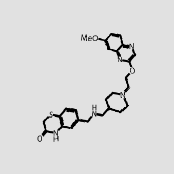 COc1ccc2ncc(OCCN3CCC(CNCc4ccc5c(c4)NC(=O)CS5)CC3)nc2c1